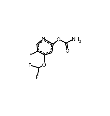 NC(=O)Oc1cc(OC(F)F)c(F)cn1